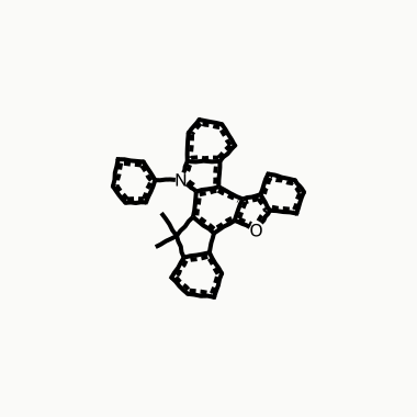 CC1(C)c2ccccc2-c2c1c1c(c3ccccc3n1-c1ccccc1)c1c2oc2ccccc21